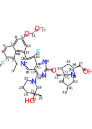 CCc1c(F)ccc2cc(OCOC)cc(-c3ncc4c(N5CCC[C@@](C)(O)C5)nc(OC[C@@]56CC[C@@H](CO)N5CC(C)C6)nc4c3F)c12